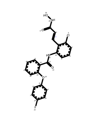 O=C(/C=C/c1c(Cl)cccc1NC(=O)c1ccccc1Oc1ccc(F)cc1)NO